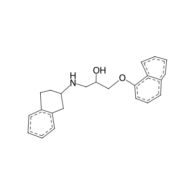 OC(CNC1CCc2ccccc2C1)COc1cccc2ccccc12